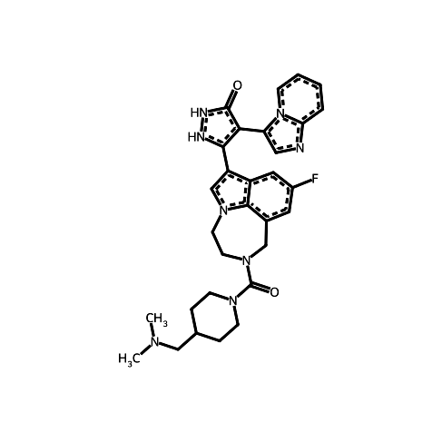 CN(C)CC1CCN(C(=O)N2CCn3cc(-c4[nH][nH]c(=O)c4-c4cnc5ccccn45)c4cc(F)cc(c43)C2)CC1